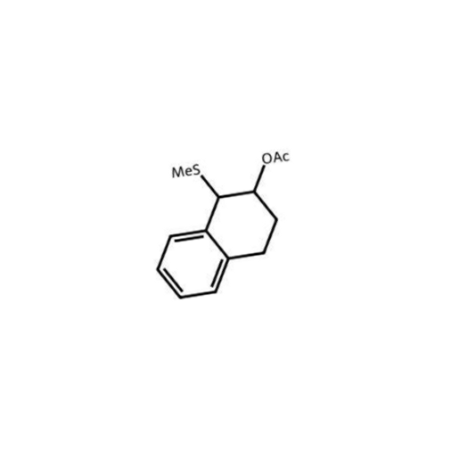 CSC1c2ccccc2CCC1OC(C)=O